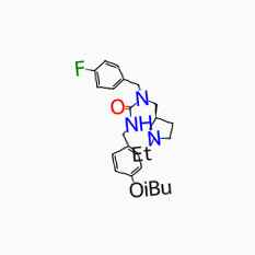 CCN1CC[C@H](CN(Cc2ccc(F)cc2)C(=O)NCc2ccc(OCC(C)C)cc2)C1